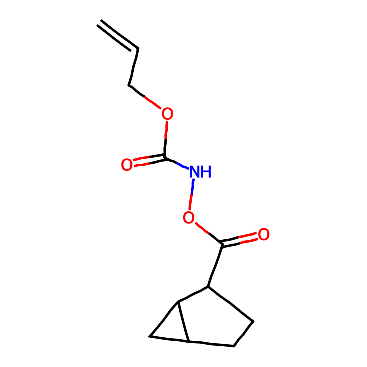 C=CCOC(=O)NOC(=O)C1CCC2CC21